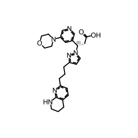 O=C(O)C[C@@H](c1cncc(N2CCOCC2)c1)n1ccc(CCCc2ccc3c(n2)NCCC3)n1